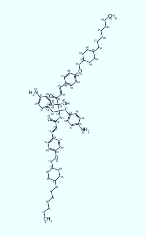 CCCCCCCC1CCC(COc2ccc(C=CC(=O)CC(Cc3ccc(N)cc3)(Cc3ccc(N)cc3)C(O)(O)C(=O)C=Cc3ccc(OCC4CCC(CCCCCCC)CC4)cc3)cc2)CC1